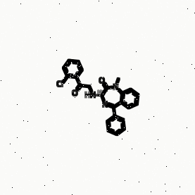 CN1C(=O)[C@@H](NCC(=O)c2ccccc2Cl)N=C(c2ccccc2)c2ccccc21